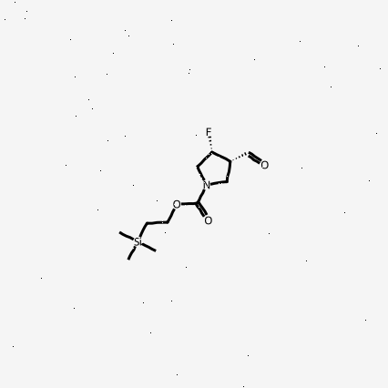 C[Si](C)(C)CCOC(=O)N1C[C@@H](C=O)[C@@H](F)C1